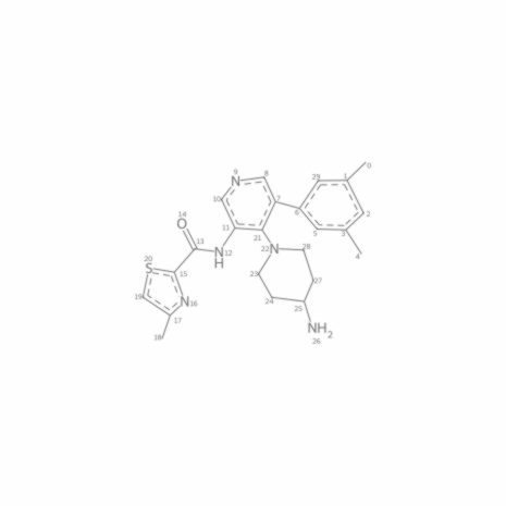 Cc1cc(C)cc(-c2cncc(NC(=O)c3nc(C)cs3)c2N2CCC(N)CC2)c1